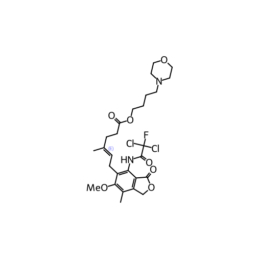 COc1c(C)c2c(c(NC(=O)C(F)(Cl)Cl)c1C/C=C(\C)CCC(=O)OCCCCN1CCOCC1)C(=O)OC2